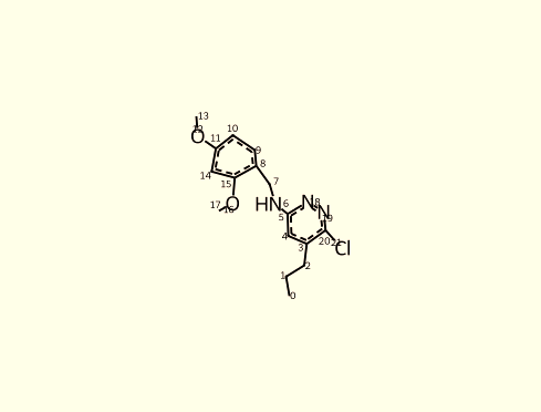 CCCc1cc(NCc2ccc(OC)cc2OC)nnc1Cl